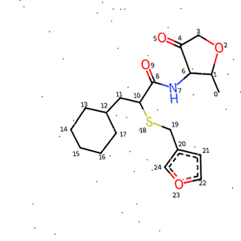 CC1OCC(=O)C1NC(=O)C(CC1CCCCC1)SCc1ccoc1